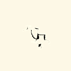 CCc1cc2ccc(C(=O)O)cc2[nH]c1=O